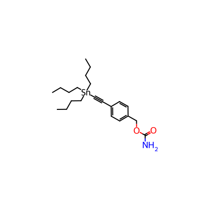 CCC[CH2][Sn]([C]#Cc1ccc(COC(N)=O)cc1)([CH2]CCC)[CH2]CCC